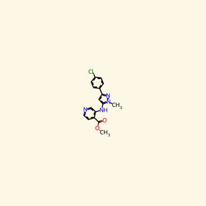 COC(=O)c1ccncc1Nc1cc(-c2ccc(Cl)cc2)nn1C